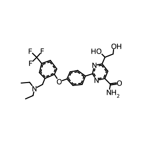 CCN(CC)Cc1cc(C(F)(F)F)ccc1Oc1ccc(-c2nc(C(N)=O)cc(C(O)CO)n2)cc1